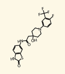 O=C(CC1(O)CCN(c2ccc(F)c(C(F)(F)F)c2)CC1)Nc1ccc2[nH]c(=O)sc2c1